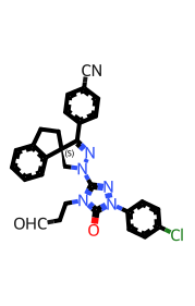 N#Cc1ccc(C2=NN(c3nn(-c4ccc(Cl)cc4)c(=O)n3CCC=O)C[C@@]23CCc2ccccc23)cc1